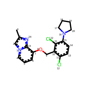 Cc1cn2cccc(OCc3c(Cl)ccc(N4CCCC4)c3Cl)c2n1